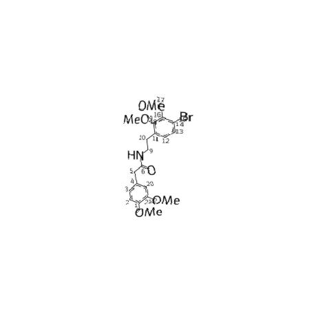 COc1ccc(CC(=O)NCCc2ccc(Br)c(OC)c2OC)cc1OC